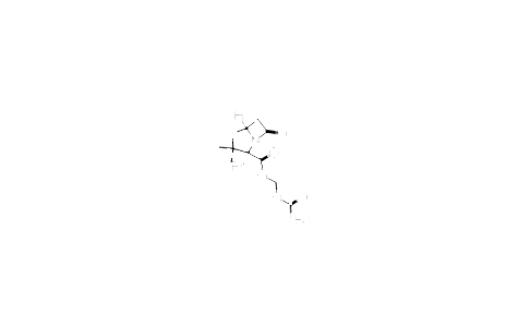 CC(C)(C)C(=O)OCOC(=O)[C@]1(Br)N2C(=O)C[C@H]2SC1(C)C